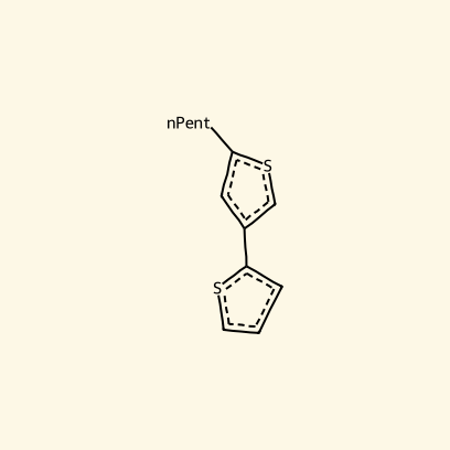 CCCCCc1cc(-c2cccs2)cs1